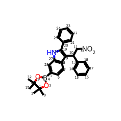 CC1(C)OB(c2ccc3c(C(C[N+](=O)[O-])c4ccccc4)c(-c4ccccc4)[nH]c3c2)OC1(C)C